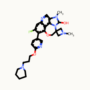 CN1CC2(COc3c(-c4ccc(OCCCN5CCCCC5)nc4)c(F)cc4ncc5c(c34)N2C(O)N5C)C1